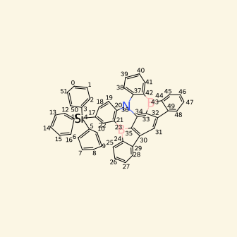 c1ccc([Si](c2ccccc2)(c2ccccc2)c2ccc3c(c2)B2c4ccccc4-c4cc5c6c(c42)N3c2ccccc2B6c2ccccc2-5)cc1